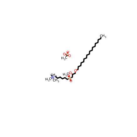 CCCCCCCCCCCCCCCCCCOCC(CS(=O)(=O)CCCCCC[N+](C)(C)C)OC.CS(=O)(=O)[O-]